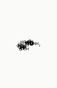 CC1(O)C(O)[C@@H](COP(=O)(O)OP(=O)(O)OP(=O)(O)O)O[C@H]1n1ccc(N)nc1=O